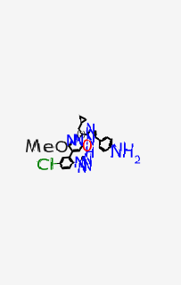 COc1nn([C@@H](CC2CC2)c2ncc(-c3ccc(N)cc3)[nH]2)c(=O)cc1-c1cc(Cl)ccc1-n1cnnn1